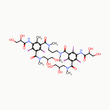 Cc1c(NC(=O)C(O)CO)c(I)c(C(=O)N(C)CC(O)CO)c(I)c1C(=O)N(C)CCCN(C)C(=O)c1c(I)c(NC(=O)C(O)CO)c(I)c(C(=O)N(C)CC(O)CO)c1I